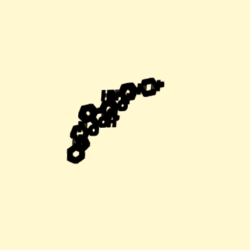 CN1CCN(c2ccc(Nc3cc(-c4cccc(N5CCn6c(cc7c6CCCC7)C5=O)c4CO)nn(C)c3=O)nc2)CC1